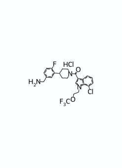 Cl.NCc1ccc(F)c(C2CCN(C(=O)c3cn(CCOC(F)(F)F)c4c(Cl)cccc34)CC2)c1